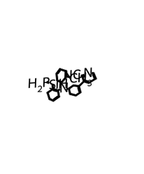 CC1CC=CC2C1N(C1CCC=C(c3cccnc3C#N)C1)C1=C(CCC=C1)[SiH]2P